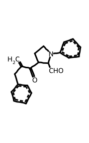 C=C(Cc1ccccc1)C(=O)C1CCN(c2ccccc2)C1C=O